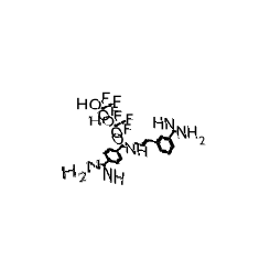 N=C(N)c1ccc(C(=O)NC/C=C/c2cccc(C(=N)N)c2)cc1.O=C(O)C(F)(F)F.O=C(O)C(F)(F)F